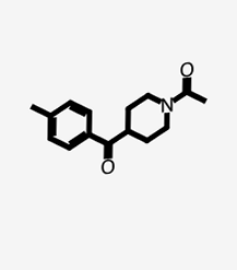 CC(=O)N1CCC(C(=O)c2ccc(C)cc2)CC1